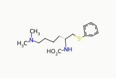 CN(C)CCCC[C@H](CSc1ccccc1)NC(=O)O